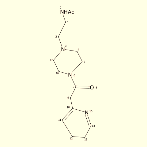 CC(=O)NCCN1CCN(C(=O)CC2=CCCC=N2)CC1